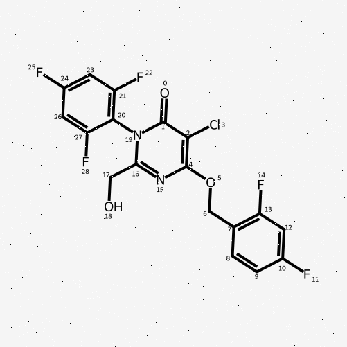 O=c1c(Cl)c(OCc2ccc(F)cc2F)nc(CO)n1-c1c(F)cc(F)cc1F